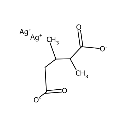 CC(CC(=O)[O-])C(C)C(=O)[O-].[Ag+].[Ag+]